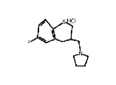 Cl.Fc1ccc2c(c1)CC(CN1CCCC1)CS2